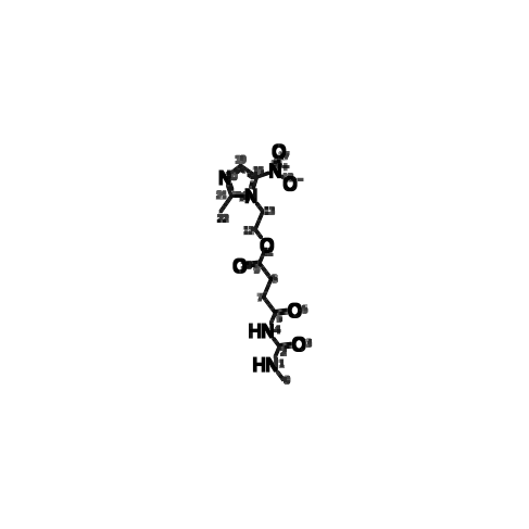 CNC(=O)NC(=O)CCC(=O)OCCn1c([N+](=O)[O-])cnc1C